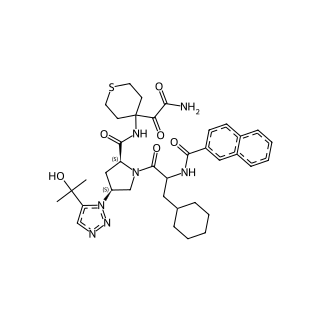 CC(C)(O)c1cnnn1[C@H]1C[C@@H](C(=O)NC2(C(=O)C(N)=O)CCSCC2)N(C(=O)C(CC2CCCCC2)NC(=O)c2ccc3ccccc3c2)C1